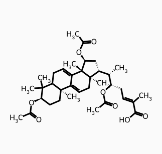 CC(=O)O[C@@H](C/C=C(\C)C(=O)O)[C@@H](C)[C@H]1C[C@H](OC(C)=O)[C@@]2(C)C3=CCC4C(C)(C)[C@H](OC(C)=O)CC[C@]4(C)C3=CC[C@]12C